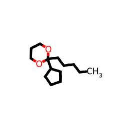 CCCCCC1(C2CCCC2)OCCCO1